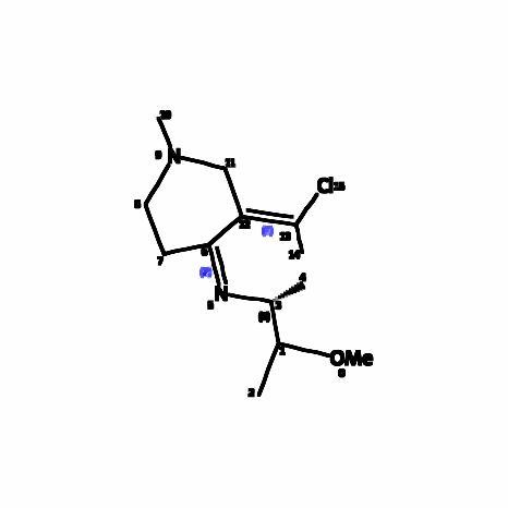 COC(C)[C@@H](C)/N=C1/CCN(C)C/C1=C(/C)Cl